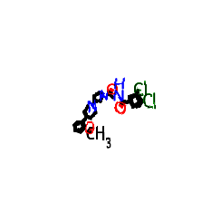 COc1ccccc1C1CCN(C2CCN(C(=O)CNC(=O)c3ccc(Cl)c(Cl)c3)C2)CC1